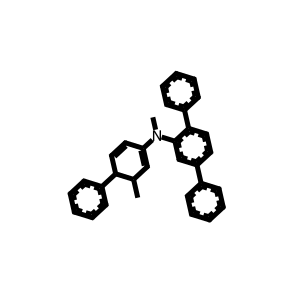 CC1C=C(N(C)c2cc(-c3ccccc3)ccc2-c2ccccc2)C=CC1c1ccccc1